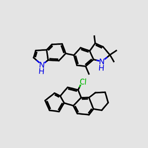 CC1=CC(C)(C)Nc2c(C)cc(-c3ccc4cc[nH]c4c3)cc21.Clc1cc2ccccc2c2ccc3c(c12)CCCC3